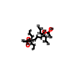 CCC[Si](CCC)(CCC[Si](CCC)(CCC)OC(C)=O)OC(C)=O